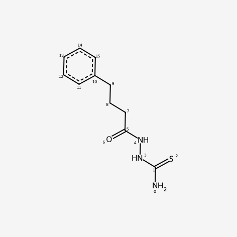 NC(=S)NNC(=O)CCCc1ccccc1